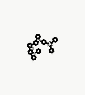 c1ccc(-c2nc(-c3ccccc3)nc(-c3ccc(-n4c5ccccc5c5cc(-c6cccc7c6sc6c7ccc7c8ccccc8n(-c8ccccc8)c76)ccc54)cc3)n2)cc1